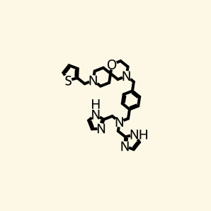 c1csc(CN2CCC3(CC2)CN(Cc2ccc(CN(Cc4ncc[nH]4)Cc4ncc[nH]4)cc2)CCO3)c1